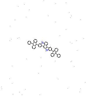 CN1c2cc(-c3c4ccccc4c(-c4ccccc4)c4ccccc34)ccc2-c2cc3c(c4cccc1c24)c1ccc(-c2c4ccccc4c(-c4ccccc4)c4ccccc24)cc1n3C